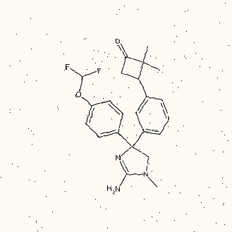 CN1CC(c2ccc(OC(F)F)cc2)(c2cccc(C3CC(=O)C3(C)C)c2)N=C1N